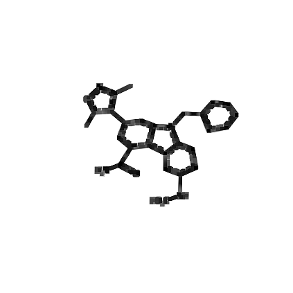 Cc1noc(C)c1-c1cc(C(N)=O)c2c3cc(NC(=O)O)ccc3n(Cc3ccccc3)c2c1